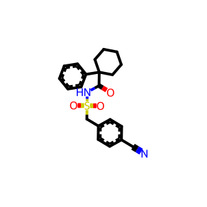 N#Cc1ccc(CS(=O)(=O)NC(=O)C2(c3ccccc3)CCCCC2)cc1